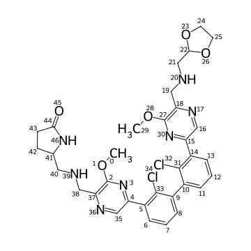 COc1nc(-c2cccc(-c3cccc(-c4cnc(CNCC5OCCO5)c(OC)n4)c3Cl)c2Cl)cnc1CNCC1CCC(=O)N1